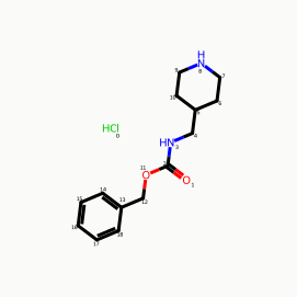 Cl.O=C(NCC1CCNCC1)OCc1ccccc1